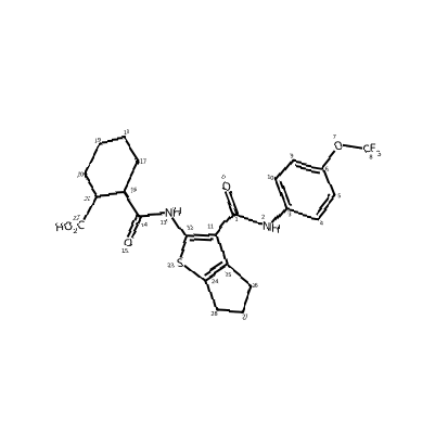 O=C(Nc1ccc(OC(F)(F)F)cc1)c1c(NC(=O)C2CCCCC2C(=O)O)sc2c1CCC2